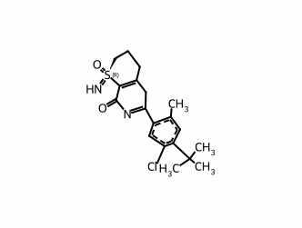 Cc1cc(C(C)(C)C)c(Cl)cc1C1=NC(=O)C2=C(CCC[S@@]2(=N)=O)C1